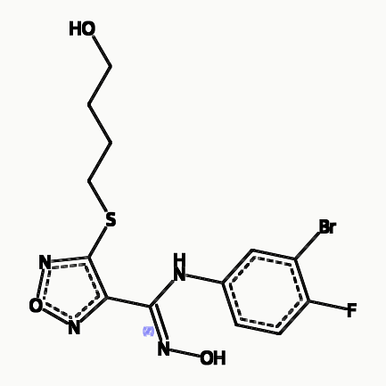 OCCCCSc1nonc1/C(=N/O)Nc1ccc(F)c(Br)c1